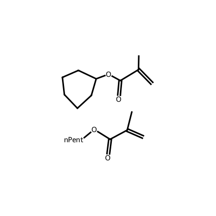 C=C(C)C(=O)OC1CCCCC1.C=C(C)C(=O)OCCCCC